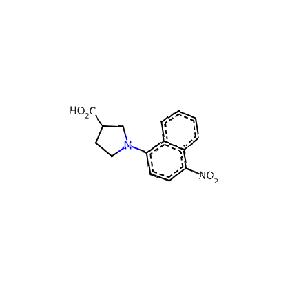 O=C(O)C1CCN(c2ccc([N+](=O)[O-])c3ccccc23)C1